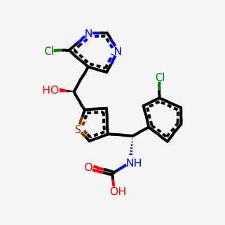 O=C(O)N[C@@H](c1cccc(Cl)c1)c1csc([C@@H](O)c2cncnc2Cl)c1